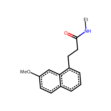 CCNC(=O)CCc1cccc2ccc(OC)cc12